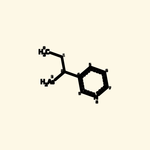 CCC([AsH2])c1cccnc1